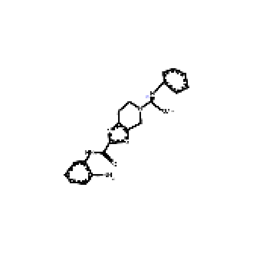 CS/C(=N\c1ccccc1)N1CCc2nc(C(=O)Nc3ccccc3N)sc2C1